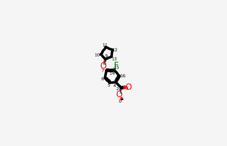 COC(=O)c1ccc(OC2CCCC2)c(F)c1